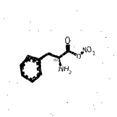 N[C@@H](Cc1ccccc1)C(=O)O[N+](=O)[O-]